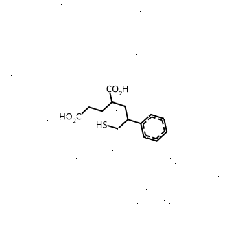 O=C(O)CCC(CC(CS)c1ccccc1)C(=O)O